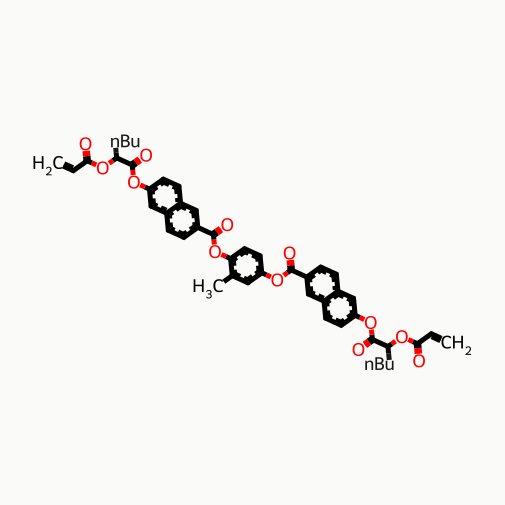 C=CC(=O)OC(CCCC)C(=O)Oc1ccc2cc(C(=O)Oc3ccc(OC(=O)c4ccc5cc(OC(=O)C(CCCC)OC(=O)C=C)ccc5c4)c(C)c3)ccc2c1